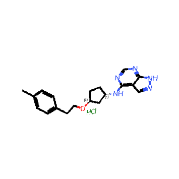 Cc1ccc(CCO[C@H]2CC[C@H](Nc3ncnc4[nH]ncc34)C2)cc1.Cl